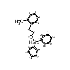 Cc1ccccc1CCO[SiH](c1ccccc1)c1ccccc1